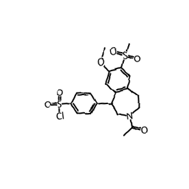 COc1cc2c(cc1S(C)(=O)=O)CCN(C(C)=O)CC2c1ccc(S(=O)(=O)Cl)cc1